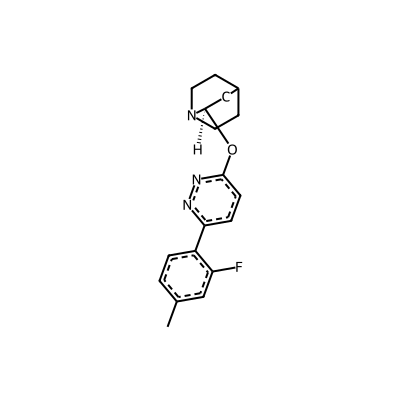 Cc1ccc(-c2ccc(O[C@@H]3CC4CCN3CC4)nn2)c(F)c1